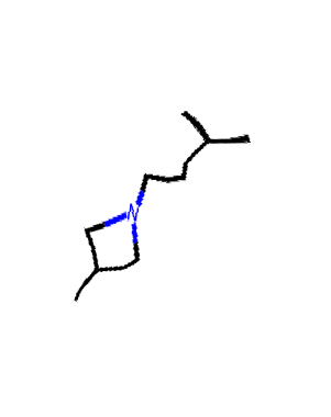 CC(C)CCN1CC(C)C1